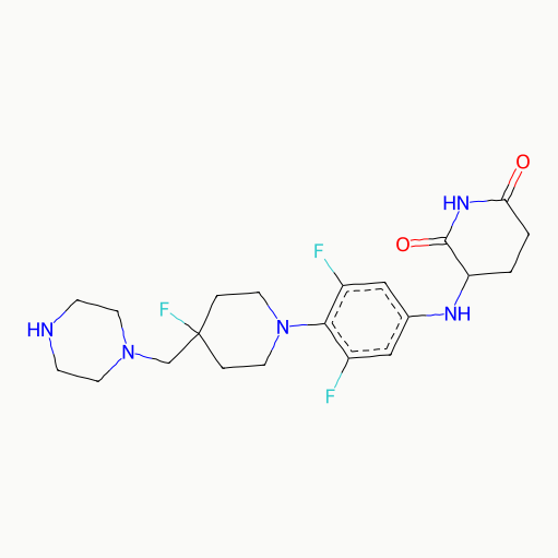 O=C1CCC(Nc2cc(F)c(N3CCC(F)(CN4CCNCC4)CC3)c(F)c2)C(=O)N1